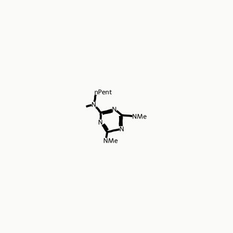 CCCCCN(C)c1nc(NC)nc(NC)n1